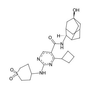 O=C(N[C@H]1C2CC3CC1C[C@@](O)(C3)C2)c1cnc(NC2CCS(=O)(=O)CC2)nc1C1CCC1